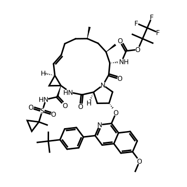 COc1ccc2c(O[C@@H]3C[C@H]4C(=O)N[C@]5(C(=O)NS(=O)(=O)C6(C)CC6)C[C@H]5/C=C/CC[C@@H](C)C[C@@H](C)[C@H](NC(=O)OC(C)(C)C(F)(F)F)C(=O)N4C3)nc(-c3ccc(C(C)(C)C)cc3)cc2c1